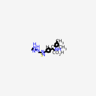 Cc1cc(C)c(NC(Cc2ccc(-c3nsc(CNc4ncc[nH]4)n3)cc2)C(=O)O)c(C)c1